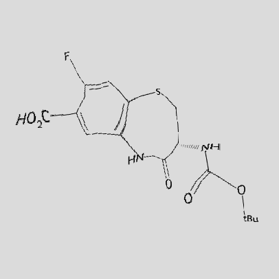 CC(C)(C)OC(=O)N[C@H]1CSc2cc(F)c(C(=O)O)cc2NC1=O